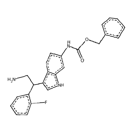 NCC(c1ccccc1F)c1c[nH]c2cc(NC(=O)OCc3ccccc3)ccc12